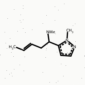 C/C=C/CC(NC)c1ccnn1C